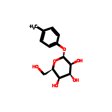 [CH2]c1ccc(O[C@H]2O[C@@H](CO)[C@H](O)[C@@H](O)[C@@H]2O)cc1